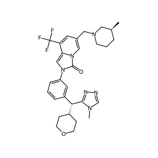 C[C@H]1CCCN(Cc2cc(C(F)(F)F)c3cn(-c4cccc([C@H](c5nncn5C)C5CCOCC5)c4)c(=O)n3c2)C1